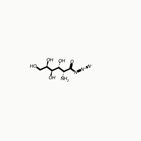 [N-]=[N+]=NC(=O)[C@H](N)[C@@H](O)[C@@H](O)[C@H](O)CO